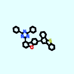 c1ccc(-c2nc(-c3ccccc3)nc(-c3cccc4oc5cc(-c6cc7c8ccccc8sc7c7ccccc67)ccc5c34)n2)cc1